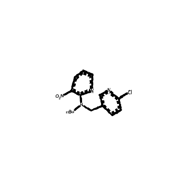 CCCCN(Cc1ccc(Cl)nc1)c1ncccc1[N+](=O)[O-]